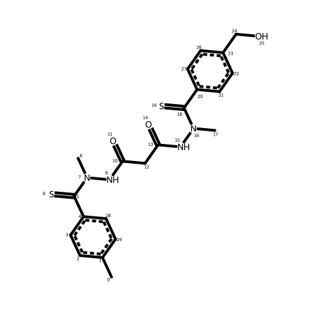 Cc1ccc(C(=S)N(C)NC(=O)CC(=O)NN(C)C(=S)c2ccc(CO)cc2)cc1